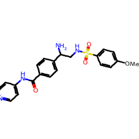 COc1ccc(S(=O)(=O)NCC(N)c2ccc(C(=O)Nc3ccncc3)cc2)cc1